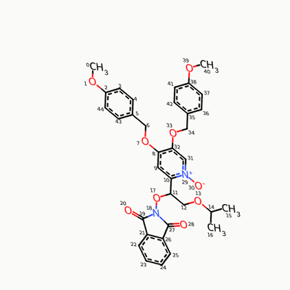 COc1ccc(COc2cc(C(COC(C)C)ON3C(=O)c4ccccc4C3=O)[n+]([O-])cc2OCc2ccc(OC)cc2)cc1